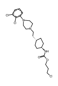 O=C(N[C@H]1CC[C@H](CCN2CCN(c3cccc(Cl)c3Cl)CC2)CC1)OCCCCl